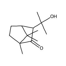 CC(C)(O)C1C(=O)C2(C)CCC1C2(C)C